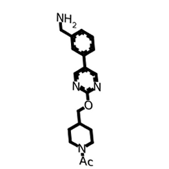 CC(=O)N1CCC(COc2ncc(-c3cccc(CN)c3)cn2)CC1